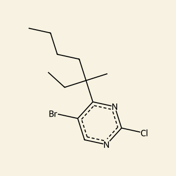 CCCCC(C)(CC)c1nc(Cl)ncc1Br